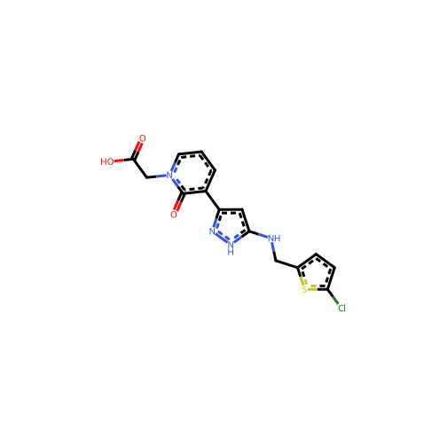 O=C(O)Cn1cccc(-c2cc(NCc3ccc(Cl)s3)[nH]n2)c1=O